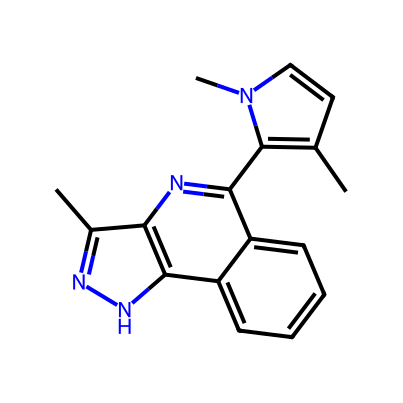 Cc1ccn(C)c1-c1nc2c(C)n[nH]c2c2ccccc12